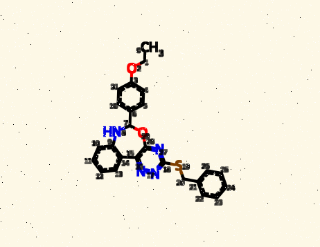 CCOc1ccc(C2Nc3ccccc3-c3nnc(SCc4ccccc4)nc3O2)cc1